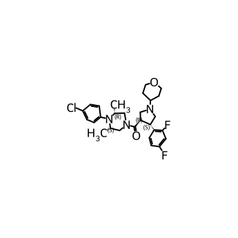 C[C@@H]1CN(C(=O)[C@H]2CN(C3CCOCC3)C[C@@H]2c2ccc(F)cc2F)C[C@H](C)N1c1ccc(Cl)cc1